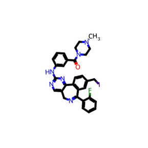 CN1CCN(C(=O)c2cccc(Nc3ncc4c(n3)-c3ccc(CI)cc3C(c3ccccc3F)=NC4)c2)CC1